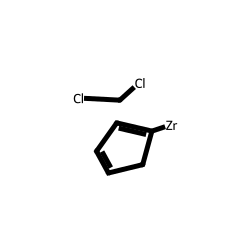 ClCCl.[Zr][C]1=CC=CC1